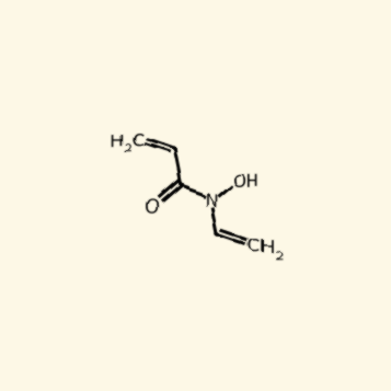 C=CC(=O)N(O)C=C